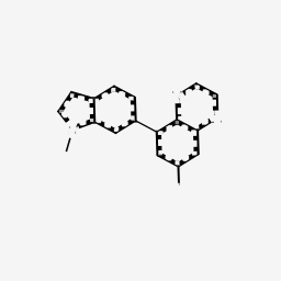 Cn1ccc2ccc(-c3cc(Cl)cc4nccnc34)cc21